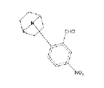 O=Cc1cc([N+](=O)[O-])ccc1N1CC2CCC(CC2)C1